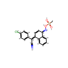 CS(=O)(=O)ON=C1C=CC(=C(C#N)c2ccc(Cl)cc2)c2ccccc21